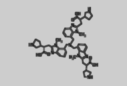 Cn1c(CC(C(=O)O)C2CCNC2)nc2cccc(CN(Cc3cccc4nc(CC(C(=O)O)C5CCNC5)n(C)c34)Cc3cccc4nc(CC(C(=O)O)C5CCNC5)n(C)c34)c21